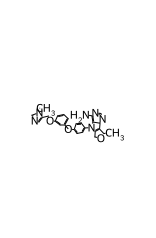 CC1OCc2c1c1ncnc(N)c1n2-c1ccc(Oc2cccc(OCc3cncn3C)c2)cc1